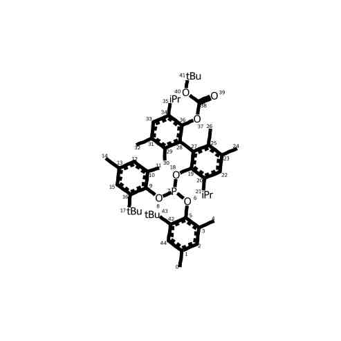 Cc1cc(C)c(OP(Oc2c(C)cc(C)cc2C(C)(C)C)Oc2c(C(C)C)cc(C)c(C)c2-c2c(C)c(C)cc(C(C)C)c2OC(=O)OC(C)(C)C)c(C(C)(C)C)c1